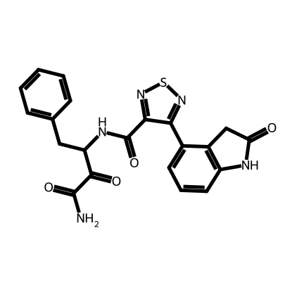 NC(=O)C(=O)C(Cc1ccccc1)NC(=O)c1nsnc1-c1cccc2c1CC(=O)N2